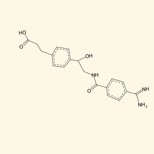 N=C(N)c1ccc(C(=O)NCC(O)c2ccc(CCC(=O)O)cc2)cc1